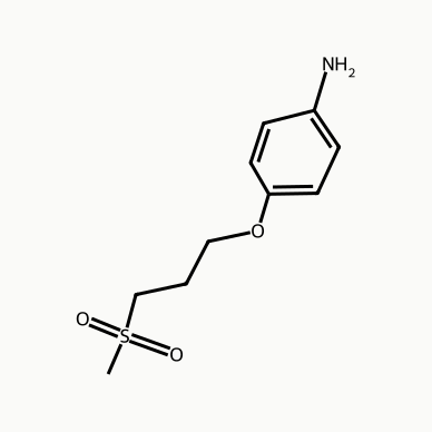 CS(=O)(=O)CCCOc1ccc(N)cc1